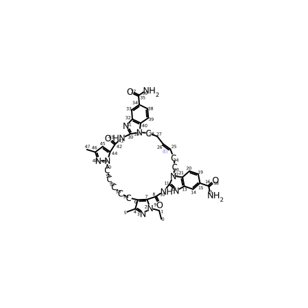 CCn1nc(C)c2c1C(=O)Nc1nc3cc(C(N)=O)ccc3n1CC/C=C/CCn1c(nc3cc(C(N)=O)ccc31)NC(=O)c1cc(C)nn1CCCCC2